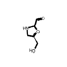 O=CC1NC[C@H](CO)O1